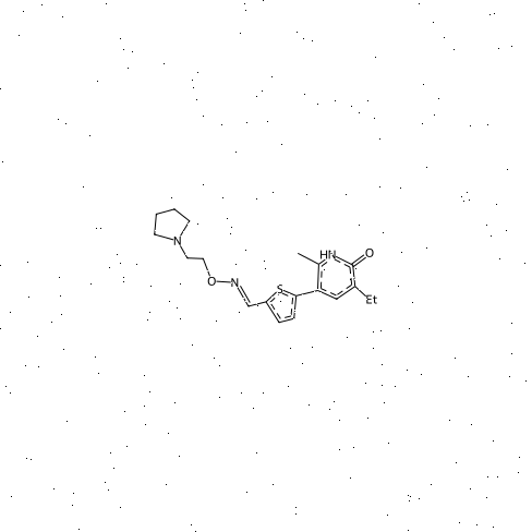 CCc1cc(-c2ccc(C=NOCCN3CCCC3)s2)c(C)[nH]c1=O